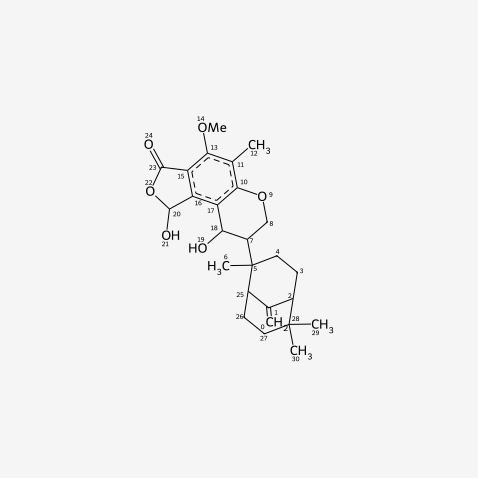 C=C1C2CCC(C)(C3COc4c(C)c(OC)c5c(c4C3O)C(O)OC5=O)C1CCC2(C)C